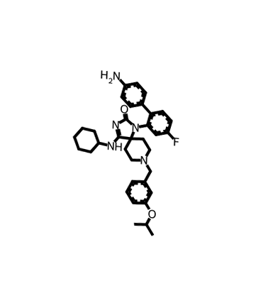 CC(C)Oc1cccc(CN2CCC3(CC2)C(NC2CCCCC2)=NC(=O)N3c2cc(F)ccc2-c2ccc(N)cc2)c1